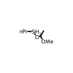 CCC[SiH2]OC(C)OC